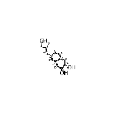 CCCSc1ccc2cc(O)c(O)cc2c1